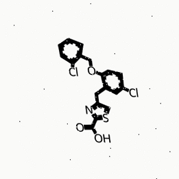 O=C(O)c1nc(Cc2cc(Cl)ccc2OCc2ccccc2Cl)cs1